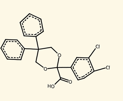 O=C(O)C1(c2ccc(Cl)c(Cl)c2)OCC(c2ccccc2)(c2ccccc2)CO1